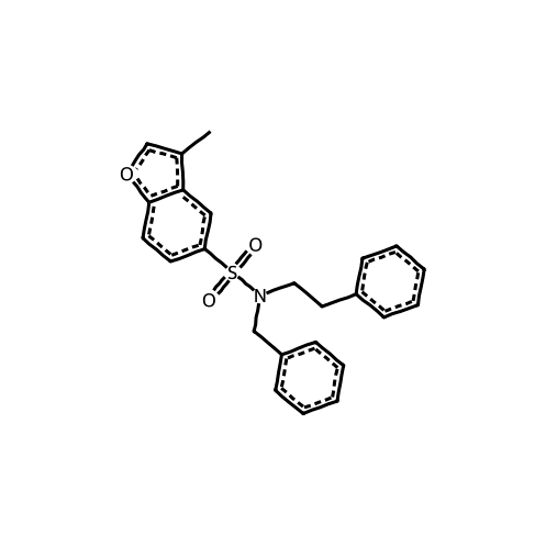 Cc1coc2ccc(S(=O)(=O)N(CCc3ccccc3)Cc3ccccc3)cc12